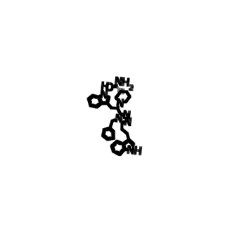 NC(=O)[C@@H]1CCCN(C(Cc2c[nH]c3ccccc23)c2nnc(CCc3c[nH]c4ccccc34)n2Cc2ccccc2)C1